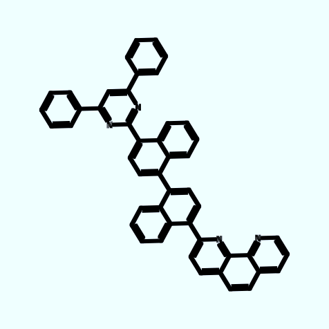 c1ccc(-c2cc(-c3ccccc3)nc(-c3ccc(-c4ccc(-c5ccc6ccc7cccnc7c6n5)c5ccccc45)c4ccccc34)n2)cc1